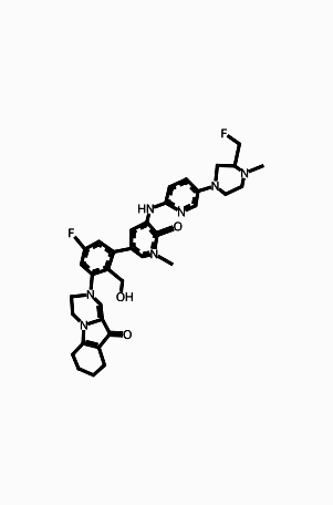 CN1CCN(c2ccc(Nc3cc(-c4cc(F)cc(N5C=C6C(=O)C7=C(CCCC7)N6CC5)c4CO)cn(C)c3=O)nc2)CC1CF